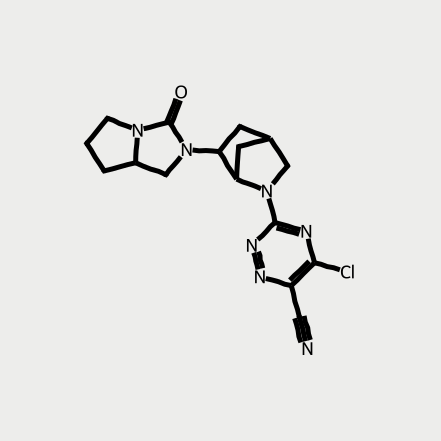 N#Cc1nnc(N2CC3CC(N4CC5CCCN5C4=O)C2C3)nc1Cl